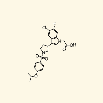 CC(C)Oc1ccc(S(=O)(=O)N2CCC(c3cn(CC(=O)O)c4cc(F)c(Cl)cc34)C2)cc1